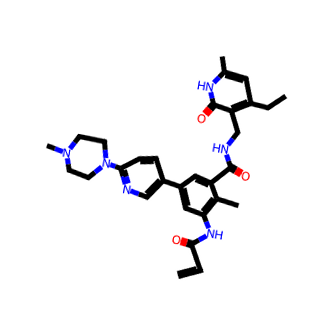 C=CC(=O)Nc1cc(-c2ccc(N3CCN(C)CC3)nc2)cc(C(=O)NCc2c(CC)cc(C)[nH]c2=O)c1C